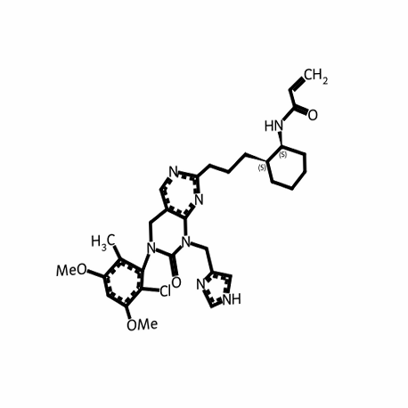 C=CC(=O)N[C@H]1CCCC[C@H]1CCCc1ncc2c(n1)N(Cc1c[nH]cn1)C(=O)N(c1c(C)c(OC)cc(OC)c1Cl)C2